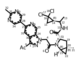 CC(=O)c1nn(CC(=O)N2[C@H](C(=O)NC(C)[C@H]3CC3(Cl)Cl)C[C@@]3(C)C[C@@H]23)c2cnc(-c3cnc(C)nc3)cc12